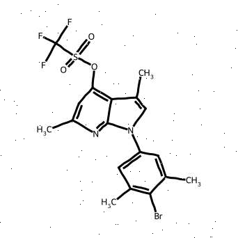 Cc1cc(OS(=O)(=O)C(F)(F)F)c2c(C)cn(-c3cc(C)c(Br)c(C)c3)c2n1